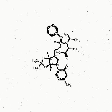 CC(C)N([C@@H](C)C(=O)O)P(=O)(OC[C@H]1C[C@@H](n2cnc(N)nc2=O)[C@@H]2OC(C)(C)O[C@H]12)Oc1ccccc1